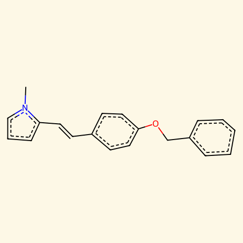 Cn1cccc1/C=C/c1ccc(OCc2ccccc2)cc1